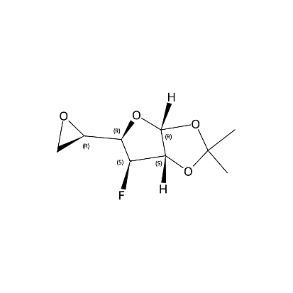 CC1(C)O[C@H]2O[C@H]([C@H]3CO3)[C@H](F)[C@H]2O1